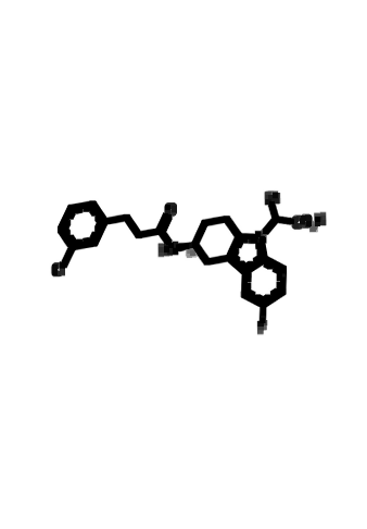 CCC(C(=O)O)n1c2c(c3cc(F)ccc31)C[C@@H](NC(=O)CCc1cccc(Cl)c1)CC2